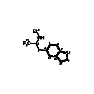 CCNC(Cc1ccc2sccc2c1)C(F)(F)F